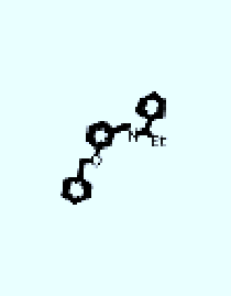 CCC(N=Cc1cccc(OCc2ccccc2)c1)c1ccccc1